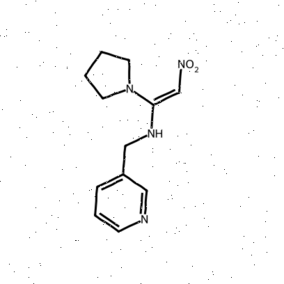 O=[N+]([O-])/C=C(/NCc1cccnc1)N1CCCC1